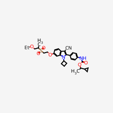 CCOCC(C)S(=O)(=O)CCOc1ccc2c(C#N)c(-c3ccc(NC(=O)OC(C)C4CC4)cc3)n(C3CCC3)c2c1